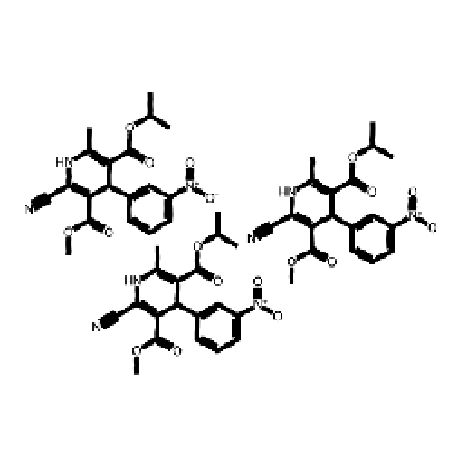 COC(=O)C1=C(C#N)NC(C)=C(C(=O)OC(C)C)C1c1cccc([N+](=O)[O-])c1.COC(=O)C1=C(C#N)NC(C)=C(C(=O)OC(C)C)C1c1cccc([N+](=O)[O-])c1.COC(=O)C1=C(C#N)NC(C)=C(C(=O)OC(C)C)C1c1cccc([N+](=O)[O-])c1